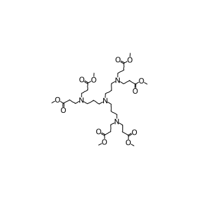 COC(=O)CCN(CCCN(CCCN(CCC(=O)OC)CCC(=O)OC)CCCN(CCC(=O)OC)CCC(=O)OC)CCC(=O)OC